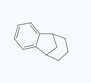 c1ccc2c(c1)[C]1CCCC2C1